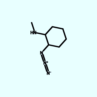 CNC1CCCCC1N=[N+]=[N-]